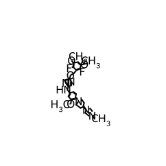 COc1cc(Nc2cnc(OCc3c(F)c(OC)cc(OC)c3F)cn2)ccc1N1CCC(N2CCN(C)CC2)CC1